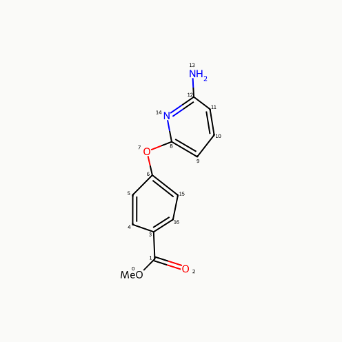 COC(=O)c1ccc(Oc2cccc(N)n2)cc1